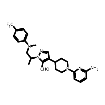 CC(CN(C)c1ccc(C(F)(F)F)cc1)n1ncc(C2CCN(c3cccc(N)n3)CC2)c1C=O